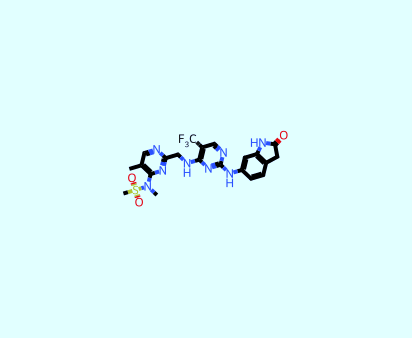 Cc1cnc(CNc2nc(Nc3ccc4c(c3)NC(=O)C4)ncc2C(F)(F)F)nc1N(C)S(C)(=O)=O